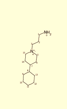 NCCC[N+]1CCC(C2CCCCC2)CC1